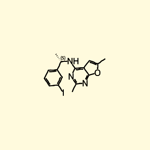 Cc1nc(N[C@@H](C)c2cccc(I)c2)c2cc(C)oc2n1